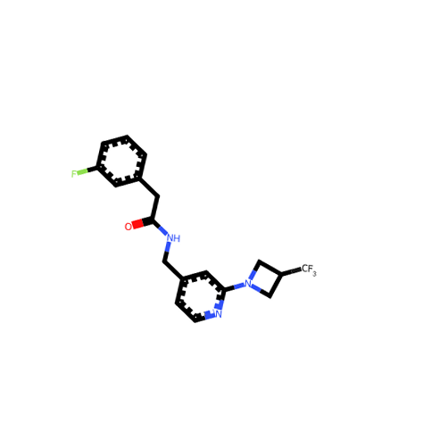 O=C(Cc1cccc(F)c1)NCc1ccnc(N2CC(C(F)(F)F)C2)c1